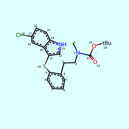 CN(CCc1ccccc1Sc1c[nH]c2ccc(Cl)cc12)C(=O)OC(C)(C)C